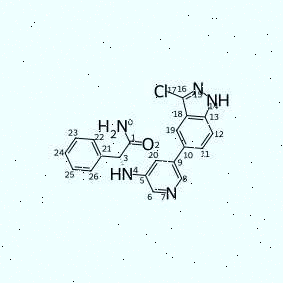 NC(=O)[C@H](Nc1cncc(-c2ccc3[nH]nc(Cl)c3c2)c1)c1ccccc1